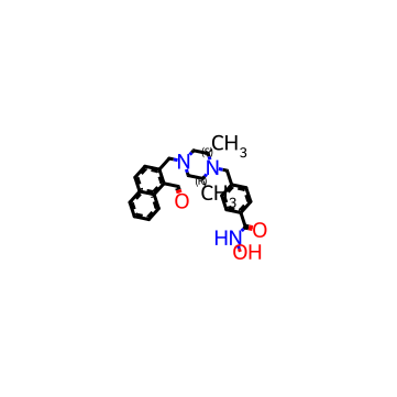 C[C@@H]1CN(Cc2ccc3ccccc3c2C=O)C[C@H](C)N1Cc1ccc(C(=O)NO)cc1